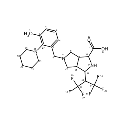 Cc1cccc(CN2CC3C(C(=O)O)NC(C(C(F)(F)F)C(F)(F)F)C3C2)c1N1CCCCC1